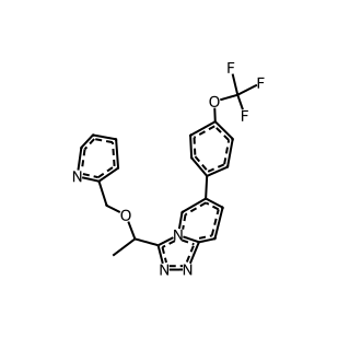 CC(OCc1ccccn1)c1nnc2ccc(-c3ccc(OC(F)(F)F)cc3)cn12